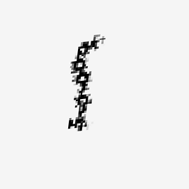 C=N/C(=N\CCN1CCC(CCc2ccc(C3=CCC(CN4CC/C(=N\CC)C4)CC3)cc2)CC1)C(C)C